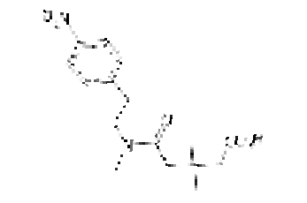 CN(CCc1ccc([N+](=O)[O-])cc1)C(=O)CC(C)(C)CC(=O)O